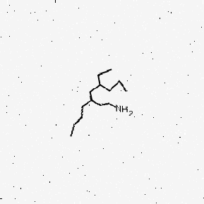 CCCCC(CCN)CC(CC)CCC